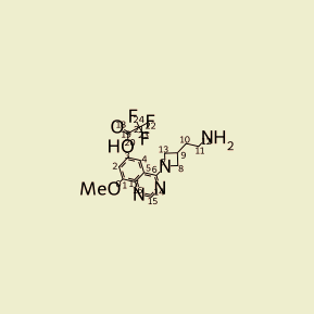 COc1cccc2c(N3CC(CCN)C3)ncnc12.O=C(O)C(F)(F)F